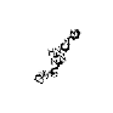 O=C(C=Cc1cnc(N[C@@H]2CCCN(Cc3ccccn3)C2)cn1)NOC1CCCCO1